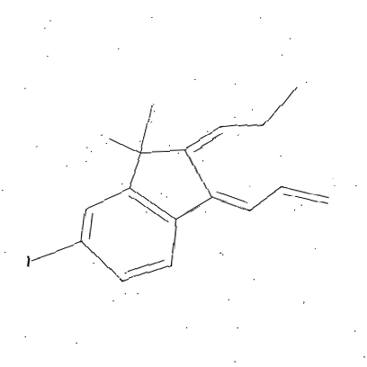 C=C/C=C1\C(=C/CC)C(C)(C)c2cc(I)ccc21